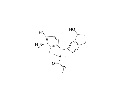 CNc1ccc(C(c2ccc3c(c2)C(O)CC3)C(C)(C)C(=O)OC)c(C)c1N